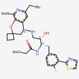 CNc1nc(CC(C)(C)C)cc2c1OC1(CCC1)C[C@@H]2NC[C@H](O)[C@H](Cc1ccc(F)c(-c2nccs2)c1)NC(=O)COC